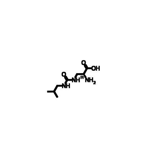 CC(C)CNC(=O)NC[C@H](N)C(=O)O